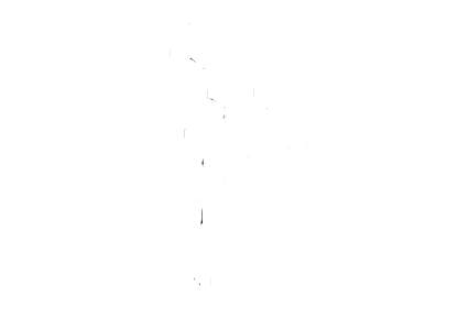 C[C@]12CC[C@H](CCC3CCN3)CC1[C@@H](CO)C(=O)[C@@H]1[C@@H]2CC[C@]2(C)C(=O)CC[C@@H]12